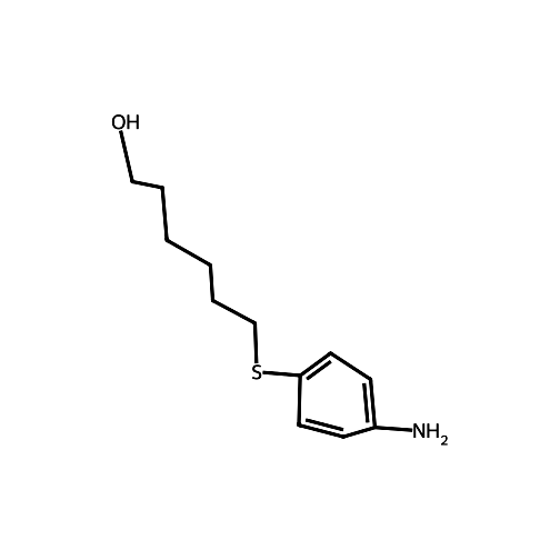 Nc1ccc(SCCCCCCO)cc1